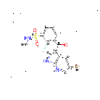 CCCNS(=O)(=O)c1cccc(C(=O)c2c[nH]c3ncc(Br)cc23)c1F